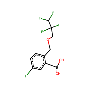 OB(O)c1cc(F)ccc1COCC(F)(F)C(F)F